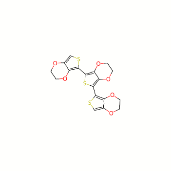 c1sc(-c2sc(-c3scc4c3OCCO4)c3c2OCCO3)c2c1OCCO2